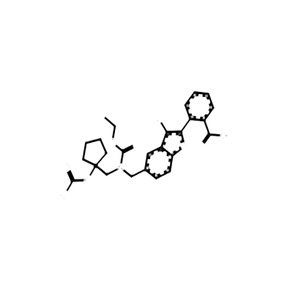 CCOC(=O)N(Cc1ccc2sc(-c3ccccc3C(=O)O)c(Br)c2c1)CC1(OC(=O)O)CCCC1